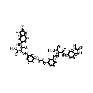 CC(=O)C(/N=N/c1cccc(OCCOc2cccc(/N=N/C(C(C)=O)C(=O)Nc3ccc4[nH]c(=O)[nH]c4c3)c2)c1)C(=O)Nc1ccc2[nH]c(=O)[nH]c2c1